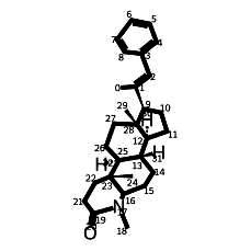 C/C(=C\c1ccccc1)[C@H]1CC[C@H]2[C@@H]3CCC4N(C)C(=O)CC[C@]4(C)[C@H]3CC[C@]12C